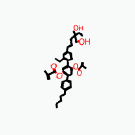 C=C(C)C(=O)Oc1cc(-c2ccc(CCCC(CC)(CO)CO)cc2CC)c(OC(=O)C(=C)C)cc1-c1ccc(CCCCC)cc1